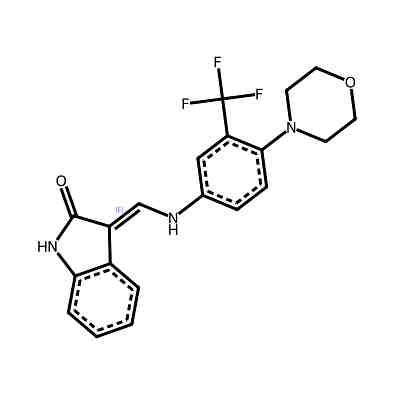 O=C1Nc2ccccc2/C1=C\Nc1ccc(N2CCOCC2)c(C(F)(F)F)c1